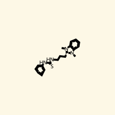 CN1c2ccccc2N(C)P1CCCNC(=S)Nc1ccccc1